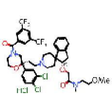 COCCN(C)C(=O)CO[C@H]1Cc2ccccc2C12CCN(CC[C@@]1(c3ccc(Cl)c(Cl)c3)CN(C(=O)c3cc(C(F)(F)F)cc(C(F)(F)F)c3)CCO1)CC2.Cl